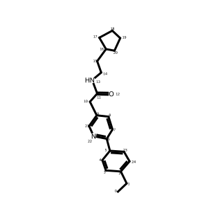 CCc1ccc(-c2ccc(CC(=O)NCCC3CCCC3)cn2)cc1